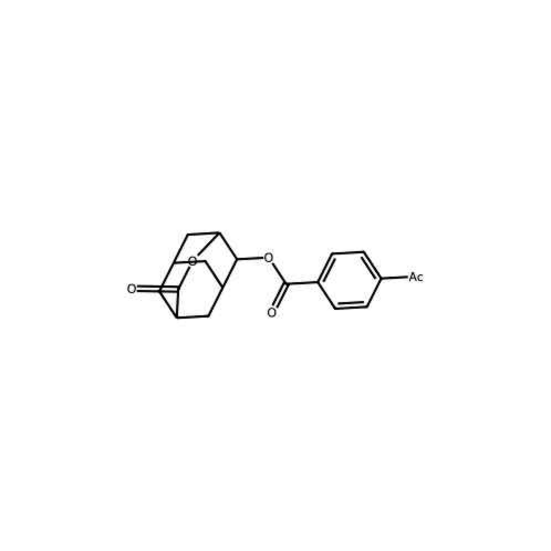 CC(=O)c1ccc(C(=O)OC2C3CC4CC(C3)C(=O)OC2C4)cc1